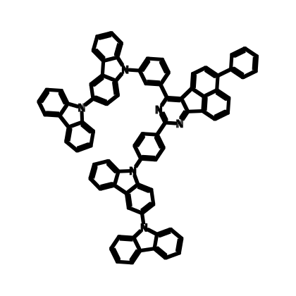 c1ccc(-c2ccc3c4c(cccc24)-c2nc(-c4ccc(-n5c6ccccc6c6cc(-n7c8ccccc8c8ccccc87)ccc65)cc4)nc(-c4cccc(-n5c6ccccc6c6cc(-n7c8ccccc8c8ccccc87)ccc65)c4)c2-3)cc1